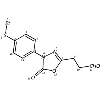 CCSc1ccc(-n2nc(CCC=O)oc2=O)cc1